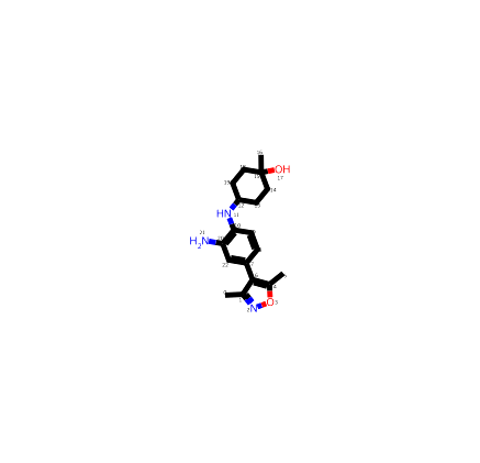 Cc1noc(C)c1-c1ccc(NC2CCC(C)(O)CC2)c(N)c1